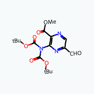 COC(=O)c1ncc(C=O)nc1N(C(=O)OC(C)(C)C)C(=O)OC(C)(C)C